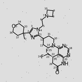 CC1(c2cn(CCN3CCC3)c(C3CCN(c4ncnc5c4[C@H](C(F)F)CC(=O)N5)CC3)n2)CCOCC1